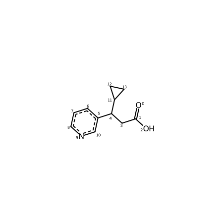 O=C(O)CC(c1cccnc1)C1CC1